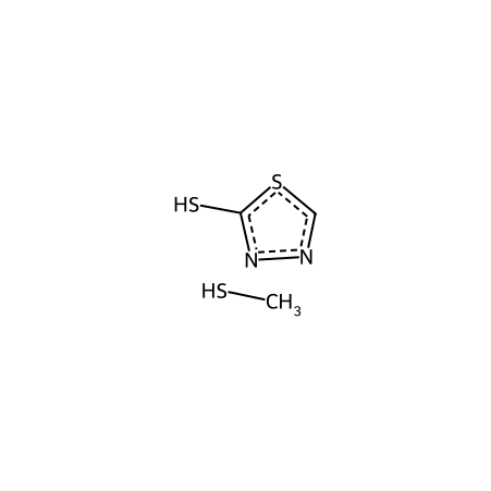 CS.Sc1nncs1